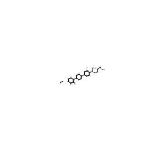 C/C=C\Oc1ccc(-c2ccc(-c3ccc(C4CCC(C(O)CC)OC4)c(F)c3)cc2)c(F)c1F